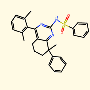 Cc1cccc(C)c1-c1nc(NS(=O)(=O)c2ccccc2)nc2c1CCCC2(C)c1ccccc1